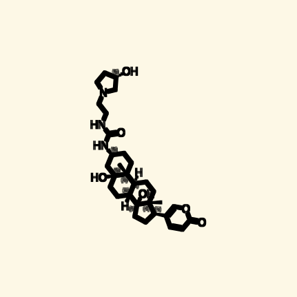 C[C@]12CC[C@H](NC(=O)NCCN3CC[C@H](O)C3)C[C@@]1(O)CC[C@@H]1[C@@H]2CC[C@]2(C)[C@@H](c3ccc(=O)oc3)CC[C@]12O